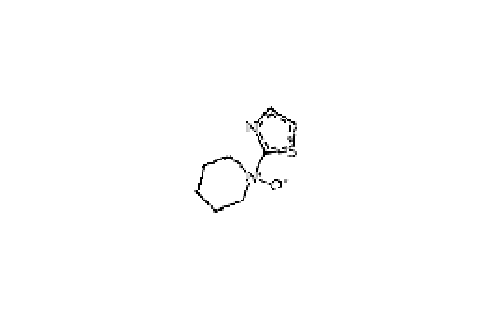 [O-][N+]1(c2nccs2)CCCCC1